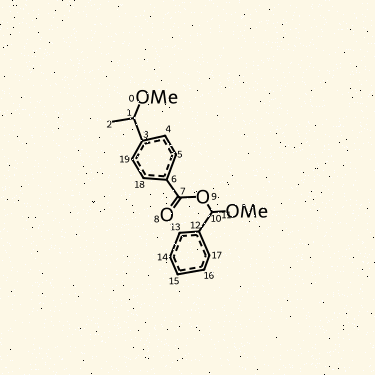 COC(C)c1ccc(C(=O)OC(OC)c2ccccc2)cc1